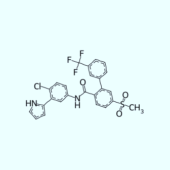 CS(=O)(=O)c1ccc(C(=O)Nc2ccc(Cl)c(-c3ccc[nH]3)c2)c(-c2cccc(C(F)(F)F)c2)c1